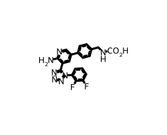 Nc1ncc(-c2ccc(CNC(=O)O)cc2)cc1-c1nnnn1-c1cccc(F)c1F